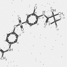 CC(=O)Nc1ccc(OS(=O)(=O)c2ccc(NC(=O)C(C)(O)C(F)(F)F)c(Cl)c2)cc1